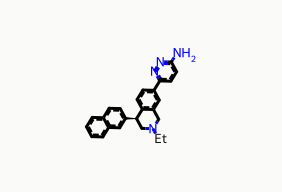 CCN1Cc2cc(-c3ccc(N)nn3)ccc2[C@H](c2ccc3ccccc3c2)C1